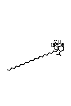 CCCCCCCCCCCCCCCCCCCCCCC1(OP(=O)(O)O)CC(C)CCC1C(C)C